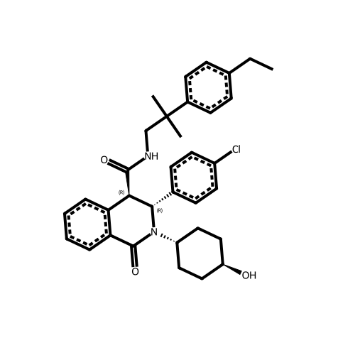 CCc1ccc(C(C)(C)CNC(=O)[C@@H]2c3ccccc3C(=O)N([C@H]3CC[C@H](O)CC3)[C@H]2c2ccc(Cl)cc2)cc1